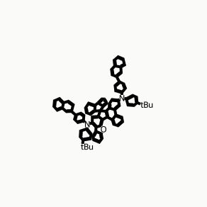 CC(C)(C)c1ccc(N(c2ccc(-c3ccc4ccccc4c3)cc2)c2ccc3c4c(c5ccccc5c3c2)-c2c(cc(N(c3ccc(-c5ccc6ccccc6c5)cc3)c3ccc(C(C)(C)C)cc3)c3c2oc2ccccc23)C42c3ccccc3-c3ccccc32)cc1